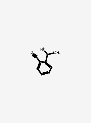 CC(S)c1ccccc1C#N